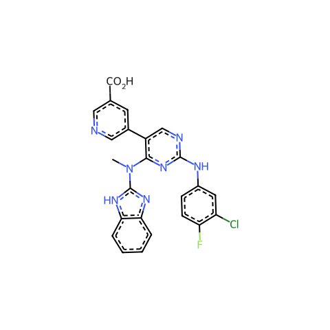 CN(c1nc2ccccc2[nH]1)c1nc(Nc2ccc(F)c(Cl)c2)ncc1-c1cncc(C(=O)O)c1